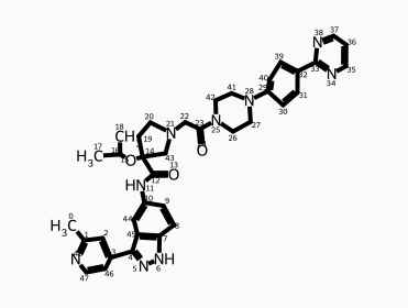 Cc1cc(-c2n[nH]c3ccc(NC(=O)C4(OC(C)C)CCN(CC(=O)N5CCN(c6ccc(-c7ncccn7)cc6)CC5)C4)cc23)ccn1